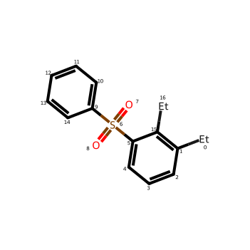 CCc1cccc(S(=O)(=O)c2ccccc2)c1CC